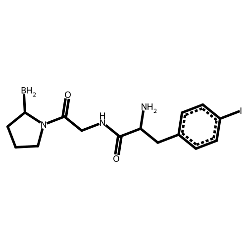 BC1CCCN1C(=O)CNC(=O)C(N)Cc1ccc(I)cc1